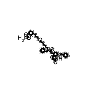 NS(=O)(=O)c1cccc(CCCCOCCCCCCN(Cc2ccccc2)C(=O)Cc2ccc(OCc3ccccc3)c3c2OCC(=O)N3)c1